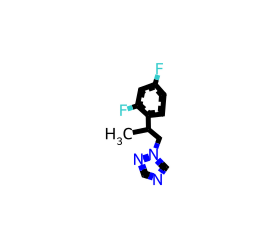 CC(Cn1cncn1)c1ccc(F)cc1F